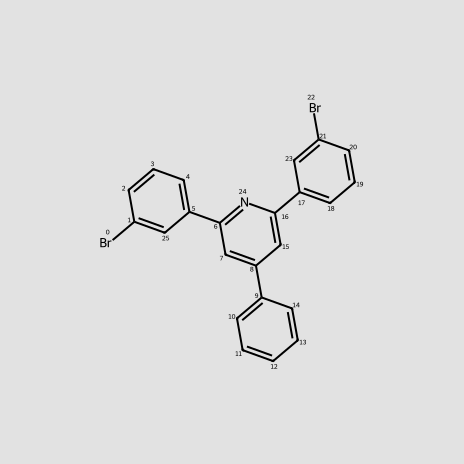 Brc1cccc(-c2cc(-c3ccccc3)cc(-c3cccc(Br)c3)n2)c1